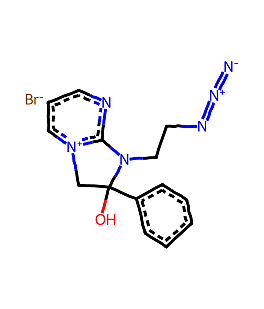 [Br-].[N-]=[N+]=NCCN1c2nccc[n+]2CC1(O)c1ccccc1